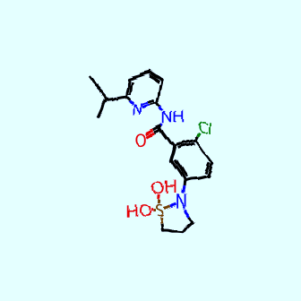 CC(C)c1cccc(NC(=O)c2cc(N3CCCS3(O)O)ccc2Cl)n1